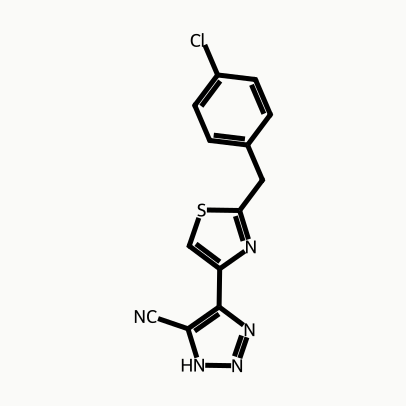 N#Cc1[nH]nnc1-c1csc(Cc2ccc(Cl)cc2)n1